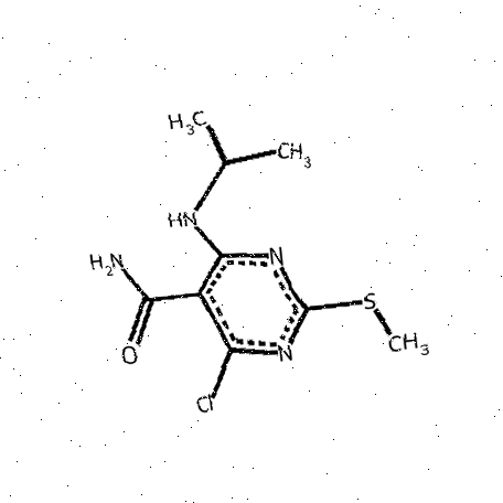 CSc1nc(Cl)c(C(N)=O)c(NC(C)C)n1